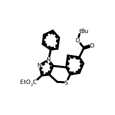 CCOC(=O)c1nn(-c2ccccc2)c2c1CSc1ccc(C(=O)OC(C)(C)C)cc1-2